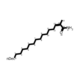 CCCCCCCCCCCCCCCCCCCCCCC=C(C)C(N)=O